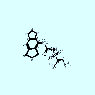 CC(CN)S(=O)(=O)NC(=O)Nc1c2c(cc3c1CCC3)CCC2